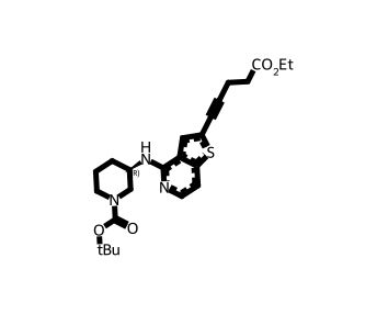 CCOC(=O)CCC#Cc1cc2c(N[C@@H]3CCCN(C(=O)OC(C)(C)C)C3)nccc2s1